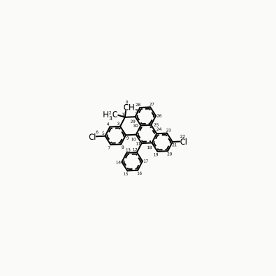 CC1(C)c2cc(Cl)ccc2-c2c(-c3ccccc3)c3ccc(Cl)cc3c3cccc1c23